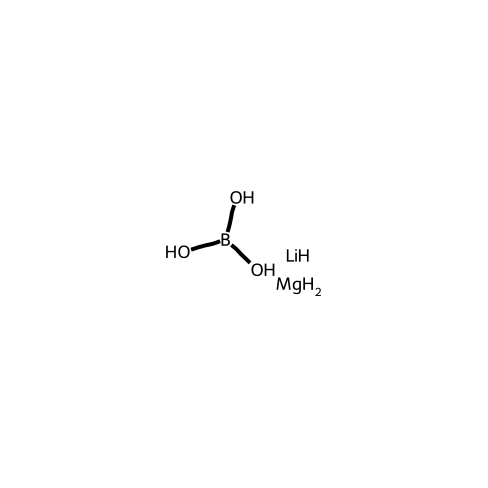 OB(O)O.[LiH].[MgH2]